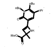 CCCCc1c(CCC)cc(C2=CC(C)(C(=O)OC)N2)c(=O)n1CCCC